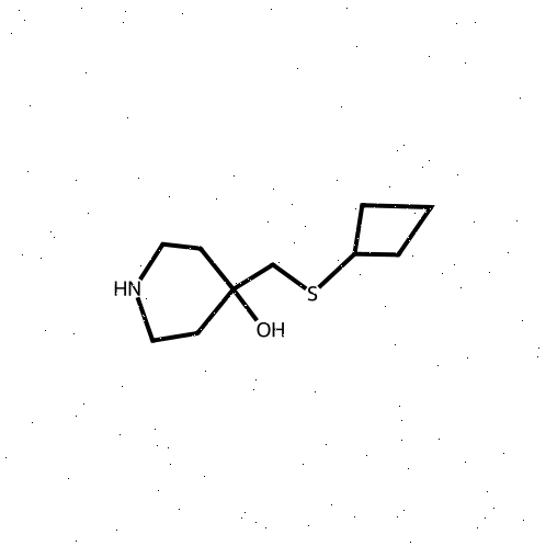 OC1(CSC2CCC2)CCNCC1